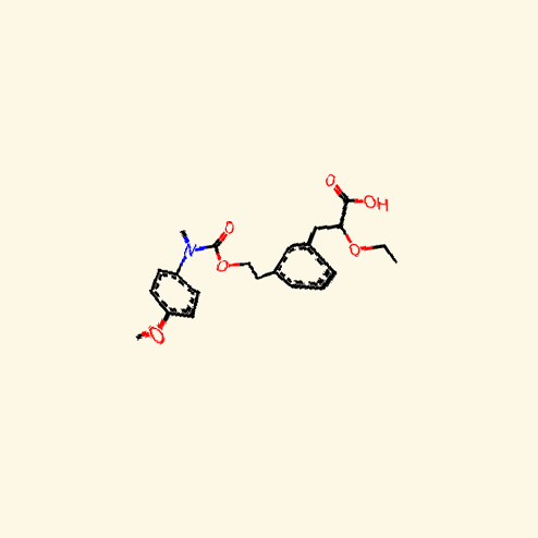 CCOC(Cc1cccc(CCOC(=O)N(C)c2ccc(OC)cc2)c1)C(=O)O